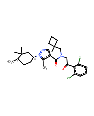 CC1(CN(CC(=O)c2c(Cl)cccc2Cl)C(=O)c2cnn([C@@H]3CC[C@@H](C(=O)O)C(C)(C)C3)c2C(F)(F)F)CCC1